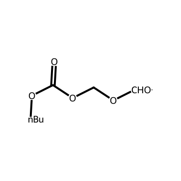 CCCCOC(=O)OCO[C]=O